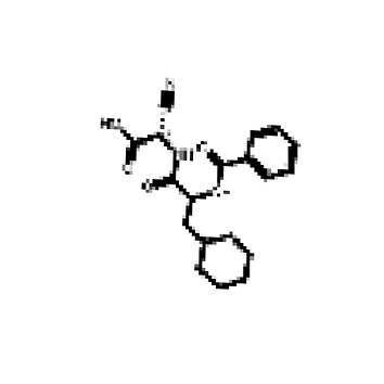 N#C[C@H](NC(=O)C(CC1CCCCC1)NC(=O)c1ccccc1)C(=O)O